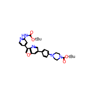 CC(C)(C)OC(=O)Nc1cc(-c2coc3cc(-c4ccc(N5CCN(C(=O)OC(C)(C)C)CC5)cc4)cnc23)ccn1